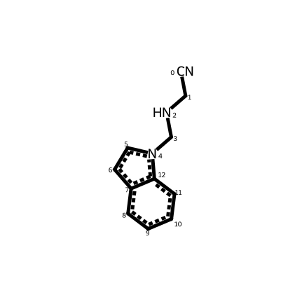 N#CCNCn1ccc2ccccc21